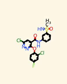 CS(=N)(=O)c1cccc(NC(=O)c2cc(Cl)nnc2Oc2ccc(F)cc2Cl)c1